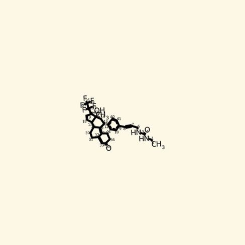 CCNC(=O)NCC#Cc1ccc([C@H]2C[C@@]3(C)C(CC[C@@]3(O)C(F)(F)C(F)(F)F)C3CCC4=CC(=O)CCC4=C32)cc1